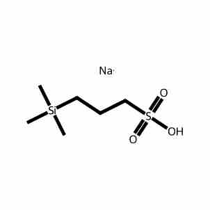 C[Si](C)(C)CCCS(=O)(=O)O.[Na]